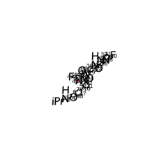 CC(C)NCCOc1ccc(-c2cccc(-n3c(=O)n(C4CCC(NC(=O)c5cn6cc(F)ccc6n5)CC4)c(=O)c4cc(F)cnc43)c2)cc1